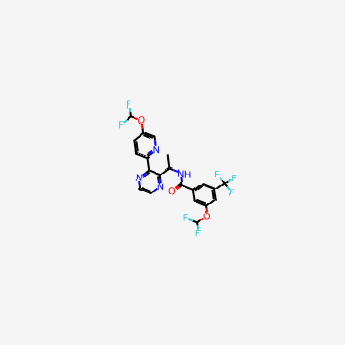 CC(NC(=O)c1cc(OC(F)F)cc(C(F)(F)F)c1)c1nccnc1-c1ccc(OC(F)F)cn1